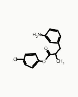 CC(Cc1cccc(N)c1)C(=O)Oc1ccc(Cl)cc1